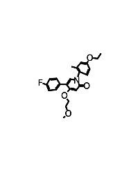 CCOc1ccc(-n2cc(-c3ccc(F)cc3)c(OCCOC)cc2=O)c(C)c1